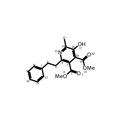 COC(=O)c1c(CCc2ccccc2)nc(C)c(O)c1C(=O)OC